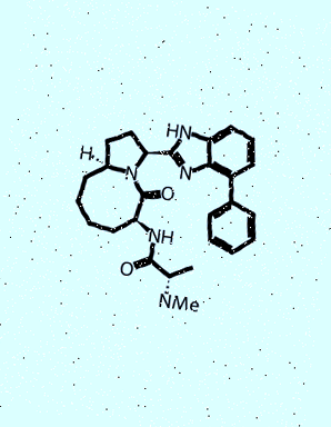 CN[C@@H](C)C(=O)N[C@H]1CCCC[C@H]2CC[C@@H](c3nc4c(-c5ccccc5)cccc4[nH]3)N2C1=O